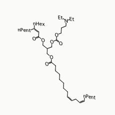 CCCCC/C=C\C/C=C\CCCCCCCC(=O)OCC(COC(=O)/C=C(\CCCCC)CCCCCC)COC(=O)OCCCN(CC)CC